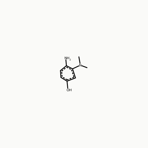 CN(C)c1cc(O)ccc1N